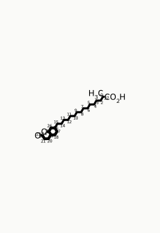 CC(CCCCCCCCCCCCCCc1ccc2ccc(=O)oc2c1)C(=O)O